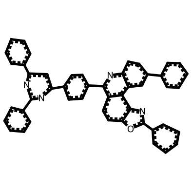 c1ccc(-c2ccc3nc(-c4ccc(-c5cc(-c6ccccc6)nc(-c6ccccc6)n5)cc4)c4ccc5oc(-c6ccccc6)nc5c4c3c2)cc1